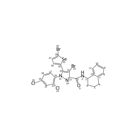 O=C(NC1CCCc2ccccc21)c1nn(-c2ccc(Cl)cc2Cl)c(-c2ccc(Br)[se]2)c1Br